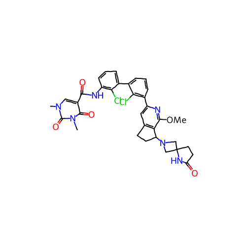 COc1nc(-c2cccc(-c3cccc(NC(=O)c4cn(C)c(=O)n(C)c4=O)c3Cl)c2Cl)cc2c1C(N1CC3(CCC(=O)N3)C1)CC2